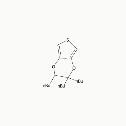 CCCCC1Oc2cscc2OC1(CCCC)CCCC